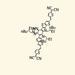 CCCCC(CC)CN/N=C1\C(=N)c2c(n(CC(CC)CCCC)c3c2sc2cc(/C=c4\ccc(=C(C#N)C#N)s4)sc23)-c2c1c1sc3cc(/C=c4\ccc(=C(C#N)C#N)s4)sc3c1n2CC(CC)CCCC